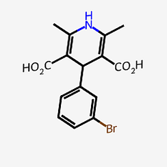 CC1=C(C(=O)O)C(c2cccc(Br)c2)C(C(=O)O)=C(C)N1